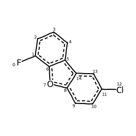 Fc1c[c]cc2c1oc1ccc(Cl)cc12